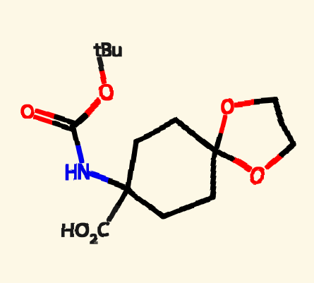 CC(C)(C)OC(=O)NC1(C(=O)O)CCC2(CC1)OCCO2